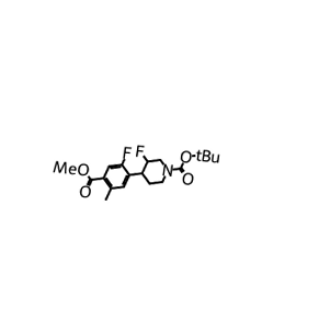 COC(=O)c1cc(F)c(C2CCN(C(=O)OC(C)(C)C)CC2F)cc1C